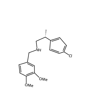 COc1ccc(CNC[C@H](C)c2ccc(Cl)cc2)cc1OC